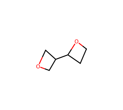 C1CC(C2COC2)O1